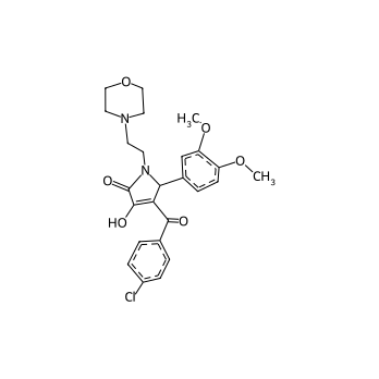 COc1ccc(C2C(C(=O)c3ccc(Cl)cc3)=C(O)C(=O)N2CCN2CCOCC2)cc1OC